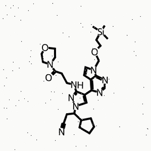 C[Si](C)(C)CCOCn1ccc2c(-c3cn(C(CC#N)C4CCCC4)nc3NCCC(=O)N3CCOCC3)ncnc21